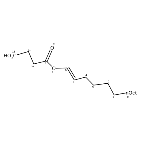 CCCCCCCCCCCCC=COC(=O)CCC(=O)O